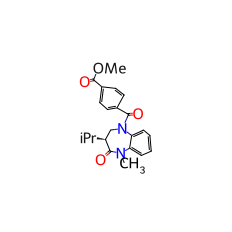 COC(=O)c1ccc(C(=O)N2C[C@H](C(C)C)C(=O)N(C)c3ccccc32)cc1